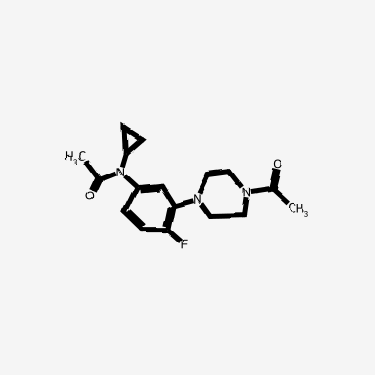 CC(=O)N1CCN(c2cc(N(C(C)=O)C3CC3)ccc2F)CC1